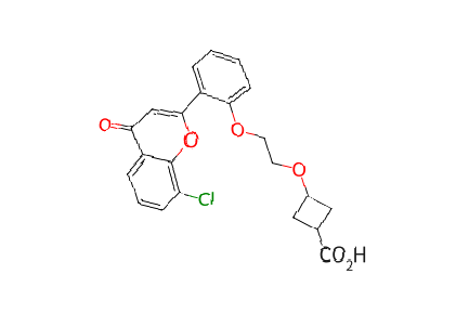 O=C(O)C1CC(OCCOc2ccccc2-c2cc(=O)c3cccc(Cl)c3o2)C1